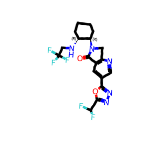 O=C1c2cc(-c3nnc(C(F)F)o3)cnc2CN1[C@@H]1CCCC[C@H]1NCC(F)(F)F